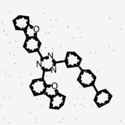 c1ccc(-c2ccc(-c3cccc(-c4nc(-c5ccc6c(c5)oc5ccccc56)nc(-c5cccc6c5oc5ccccc56)n4)c3)cc2)cc1